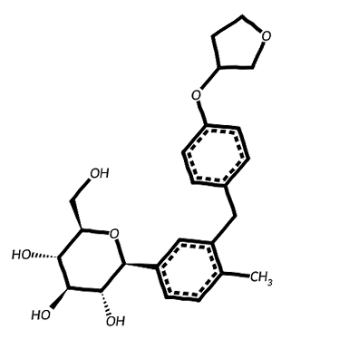 Cc1ccc([C@@H]2O[C@H](CO)[C@@H](O)[C@H](O)[C@H]2O)cc1Cc1ccc(OC2CCOC2)cc1